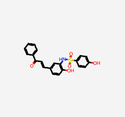 O=C(/C=C/c1ccc(O)c(NS(=O)(=O)c2ccc(O)cc2)c1)c1ccccc1